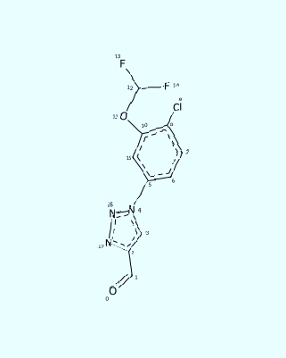 O=Cc1cn(-c2ccc(Cl)c(OC(F)F)c2)nn1